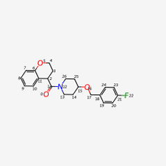 O=C(C1CCOc2ccccc21)N1CCC(OCc2ccc(F)cc2)CC1